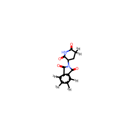 [2H]c1c([2H])c([2H])c2c(c1[2H])C(=O)N(C1CC([2H])([2H])C(=O)NC1=O)C2=O